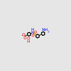 COC(=O)c1ccc(NS(=O)(=O)c2cccc(-c3cccc(N)c3)c2)cc1O